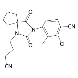 Cc1c(N2C(=O)N(CCCC#N)C3(CCCC3)C2=O)ccc(C#N)c1Cl